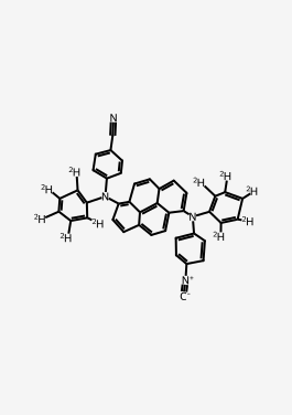 [2H]c1c([2H])c([2H])c(N(c2ccc(C#N)cc2)c2ccc3ccc4c(N(c5ccc([N+]#[C-])cc5)c5c([2H])c([2H])c([2H])c([2H])c5[2H])ccc5ccc2c3c54)c([2H])c1[2H]